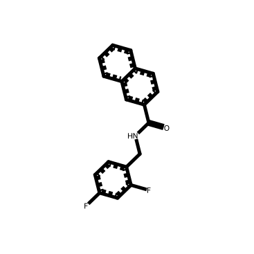 O=C(NCc1ccc(F)cc1F)c1ccc2ccccc2c1